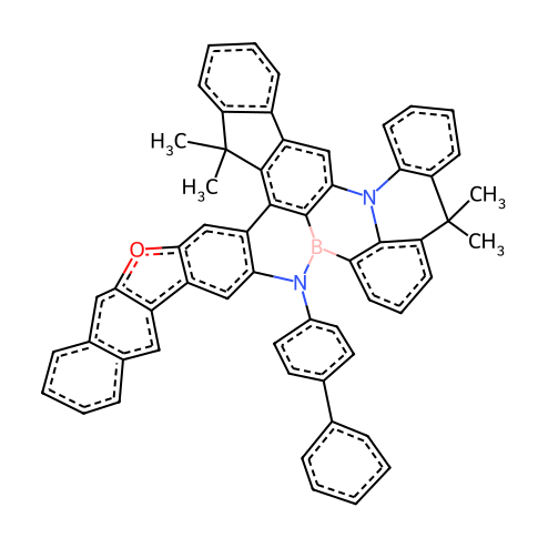 CC1(C)c2ccccc2N2c3cc4c(c5c3B(c3cccc1c32)N(c1ccc(-c2ccccc2)cc1)c1cc2c(cc1-5)oc1cc3ccccc3cc12)C(C)(C)c1ccccc1-4